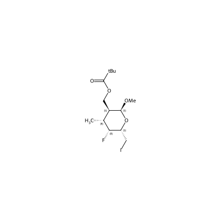 CO[C@H]1O[C@H](CI)[C@H](F)[C@H](C)[C@H]1COC(=O)C(C)(C)C